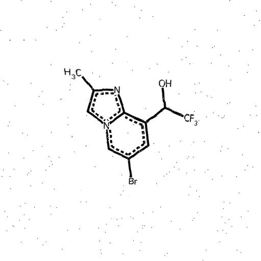 Cc1cn2cc(Br)cc(C(O)C(F)(F)F)c2n1